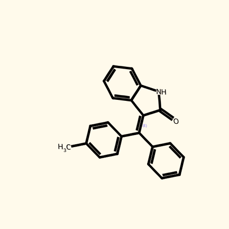 Cc1ccc(/C(=C2/C(=O)Nc3ccccc32)c2ccccc2)cc1